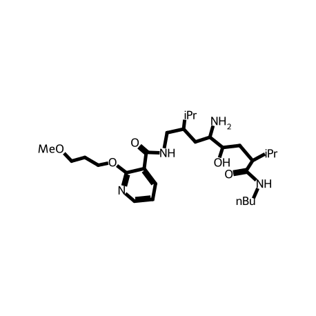 CCCCNC(=O)C(CC(O)C(N)CC(CNC(=O)c1cccnc1OCCCOC)C(C)C)C(C)C